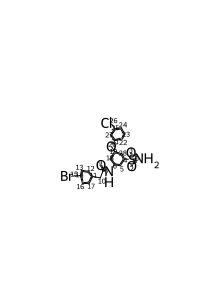 NS(=O)(=O)c1cc(NC(=O)Cc2ccc(Br)cc2)cc(Oc2cccc(Cl)c2)c1